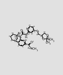 COC(=O)c1ccc2c(n1)N(C(=O)Nc1cc(OC[C@H]3COC(C)(C)O3)ccn1)[C@H]1CCCN2C1